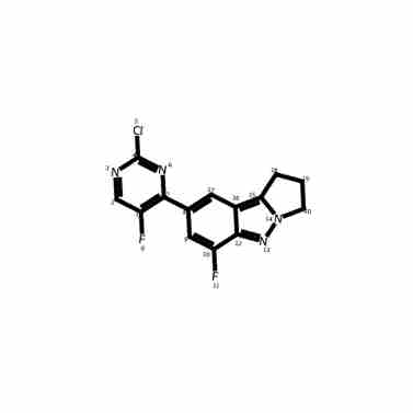 Fc1cnc(Cl)nc1-c1cc(F)c2nn3c(c2c1)CCC3